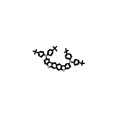 CC(C)(C)c1ccc(N(c2ccc(C(C)(C)C)cc2)c2ccc3sc4cc5cc6sc7ccc(N(c8ccc(C(C)(C)C)cc8)c8ccc(C(C)(C)C)cc8)cc7c6cc5cc4c3c2)cc1